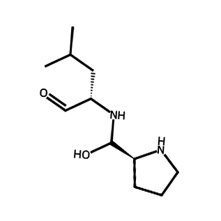 CC(C)C[C@@H](C=O)NC(O)[C@@H]1CCCN1